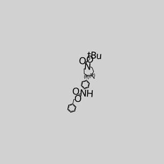 C[C@@H]1CCN(C(=O)OC(C)(C)C)CC[C@H]1c1ccc(NC(=O)OCc2ccccc2)cc1